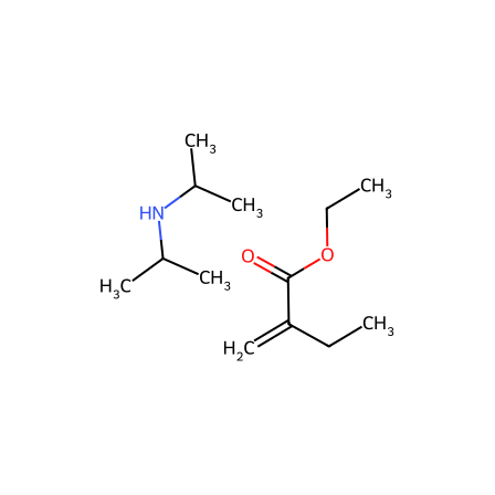 C=C(CC)C(=O)OCC.CC(C)NC(C)C